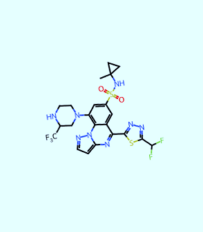 CC1(NS(=O)(=O)c2cc(N3CCNC(C(F)(F)F)C3)c3c(c2)c(-c2nnc(C(F)F)s2)nc2ccnn23)CC1